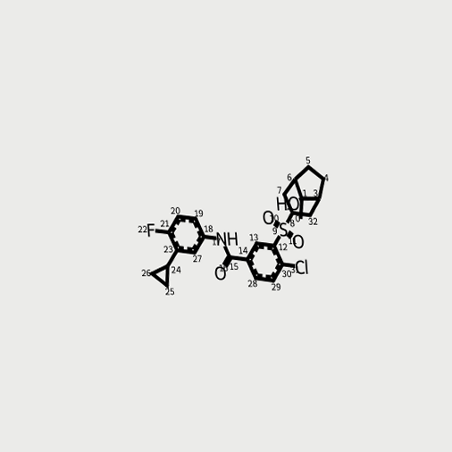 CC1(O)C2CCC1CC(S(=O)(=O)c1cc(C(=O)Nc3ccc(F)c(C4CC4)c3)ccc1Cl)C2